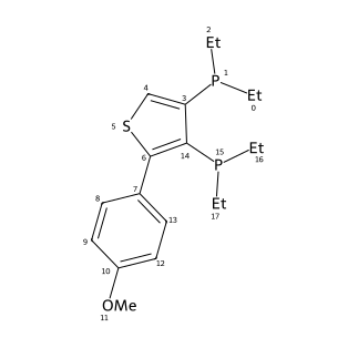 CCP(CC)c1csc(-c2ccc(OC)cc2)c1P(CC)CC